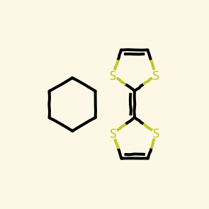 C1=CSC(=C2SC=CS2)S1.C1CCCCC1